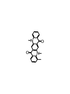 Cc1cccc2c(=O)c3cc4c(cc3n(C)c12)c(=O)c1ccccc1n4C